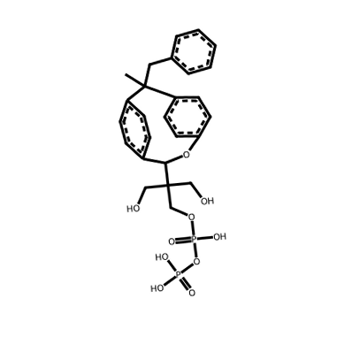 CC1(Cc2ccccc2)c2ccc(cc2)OC(C(CO)(CO)COP(=O)(O)OP(=O)(O)O)c2ccc1cc2